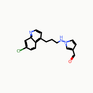 O=Cc1ccn(NCCCc2ccnc3cc(Cl)ccc23)c1